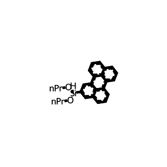 CCCO[SiH](OCCC)c1cc2cccc3c4cccc5cccc(c(c1)c23)c54